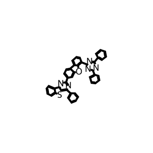 c1ccc(-c2nc(-c3ccccc3)nc(-c3cccc4c3oc3cc(-c5nc(-c6ccccc6)c6sc7ccccc7c6n5)ccc34)n2)cc1